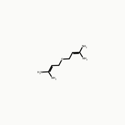 NC(N)=CCOCC=C(N)N